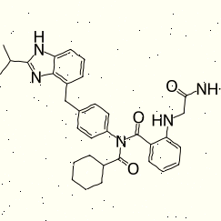 CC(C)c1nc2c(Cc3ccc(N(C(=O)c4ccccc4NCC([NH])=O)C(=O)C4CCCCC4)cc3)cccc2[nH]1